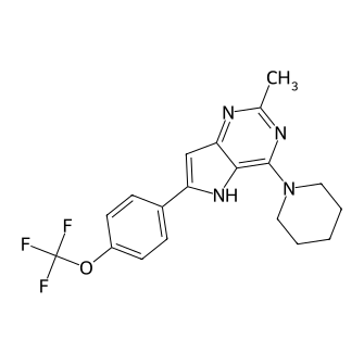 Cc1nc(N2CCCCC2)c2[nH]c(-c3ccc(OC(F)(F)F)cc3)cc2n1